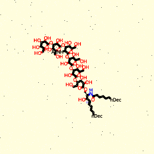 CCCCCCCCCCCCC/C=C/[C@@H](O)[C@H](CO[C@@H]1OC(CO)[C@@H](O[C@@H]2OC(CO)[C@H](O)[C@H](O[C@H]3OC(CO)[C@H](O)[C@H](O[C@@H]4OC(CO)[C@H](O)[C@H](O[C@@H]5OC(CO)[C@H](O)[C@H](O[C@H]6OC(CO)[C@H](O)[C@H](O)C6O)C5O)C4NC(C)=O)C3O)C2O)[C@H](O)C1O)NC(=O)CCCCCCCCCCCCCCC